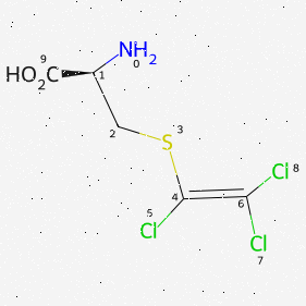 N[C@@H](CSC(Cl)=C(Cl)Cl)C(=O)O